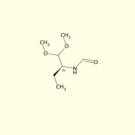 CC[C@H](NC=O)C(OC)OC